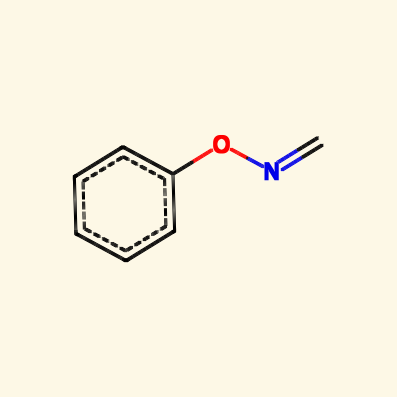 C=NOc1ccccc1